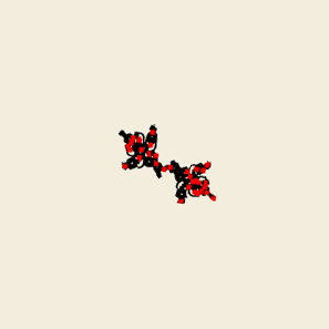 C#Cc1cc(C(C)C)c(N2C(=O)c3cc(Oc4ccc(C(C)(C)C)cc4)c4c5ccc6c7c(ccc(c8c(Oc9ccc(C(C)(C)C)cc9)cc(c3c48)C2=O)c75)-c2cc(CCc3cc4c(cc3C=C)-c3ccc5c7c(Oc8ccc(C(C)(C)C)cc8)cc8c9c(cc(Oc%10ccc(C(C)(C)C)cc%10)c(c%10ccc-4c3c5%10)c97)C(=O)N(c3c(C(C)C)cc(C#C)cc3C(C)C)C8=O)c(C)cc2-6)c(C(C)C)c1